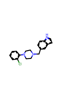 Clc1ccccc1N1CCN(Cc2ccc3[nH]ccc3c2)CC1